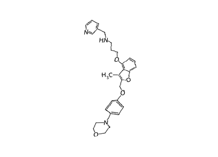 Cc1c(COc2ccc(N3CCOCC3)cc2)oc2cccc(OCCCNCc3cccnc3)c12